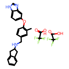 Cc1cc(CNC2Cc3ccccc3C2)ccc1Oc1ccc2[nH]cnc2c1.O=C(O)C(F)(F)F.O=C(O)C(F)(F)F